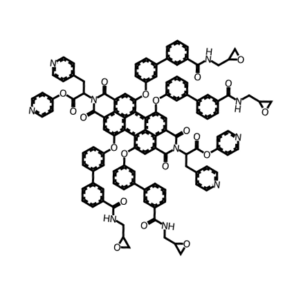 O=C(NCC1CO1)c1cccc(-c2cccc(Oc3cc4c5c(cc(Oc6cccc(-c7cccc(C(=O)NCC8CO8)c7)c6)c6c7c(Oc8cccc(-c9cccc(C(=O)NCC%10CO%10)c9)c8)cc8c9c(cc(Oc%10cccc(-c%11cccc(C(=O)NCC%12CO%12)c%11)c%10)c(c3c56)c97)C(=O)N(C(Cc3ccncc3)C(=O)Oc3ccncc3)C8=O)C(=O)N(C(Cc3ccncc3)C(=O)Oc3ccncc3)C4=O)c2)c1